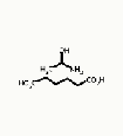 CC(N)O.O=C(O)CCCCC(=O)O